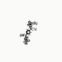 CCCCS(=O)(=O)ON=C(C#N)c1ccc(C(C#N)=NO[SH](=O)=O)cc1